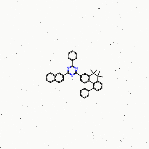 CC1(C)c2cc(-c3nc(-c4ccccc4)nc(-c4ccc5ccccc5c4)n3)ccc2-c2c(-c3ccccc3)cccc2C1(C)C